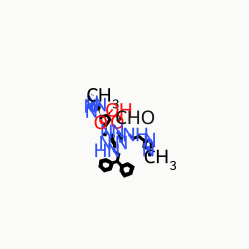 Cn1cnc(CCNc2nc(NCC(c3ccccc3)c3ccccc3)c3ncn([C@@H]4O[C@H](c5nnn(C)n5)[C@@H](O)[C@H]4OC=O)c3n2)c1